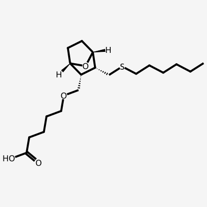 CCCCCCSC[C@@H]1[C@H](COCCCCC(=O)O)[C@@H]2CC[C@H]1O2